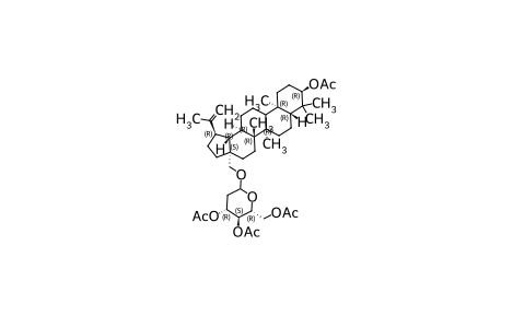 C=C(C)[C@@H]1CC[C@]2(COC3C[C@@H](OC(C)=O)[C@H](OC(C)=O)[C@@H](COC(C)=O)O3)CC[C@]3(C)[C@H](CCC4[C@@]5(C)CC[C@@H](OC(C)=O)C(C)(C)[C@@H]5CC[C@]43C)[C@@H]12